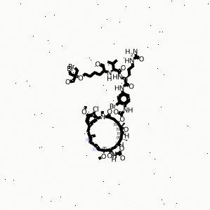 COc1cc2cc(c1Cl)N(C)C(=O)C[C@H](OC(=O)Nc1ccc(NC(=O)[C@H](CCCNC(N)=O)NC(=O)[C@@H](NC(C=O)CCCCOC(C=O)(CBr)CBr)C(C)C)cc1Br)[C@]1(C)O[C@H]1[C@H](C)[C@@H]1C[C@@](O)(NC(=O)O1)[C@H](OC)/C=C/C=C(\C)C2